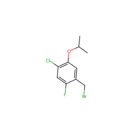 CC(C)Oc1cc(CBr)c(F)cc1Cl